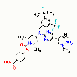 C=C/C(=C\N(C)N)c1cnc(N(Cc2cc(C(C)(C)F)cc(C(F)(F)F)c2)[C@H]2C[C@@H](C)N(C(=O)O[C@H]3CC[C@H](C(=O)O)CC3)[C@@H](C)C2)nc1